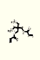 C=CC(=O)OCC(COC(C)=O)(COC(C)=O)COC(=O)C=C